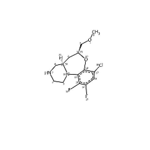 COC[C@@H]1C[C@@H]2CNCCN2c2c(F)c(F)cc(Cl)c2O1